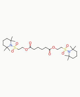 CC1(C)CCCC(C)(C)N1S(=O)(=O)CCOC(=O)CCCCC(=O)OCCS(=O)(=O)N1C(C)(C)CCCC1(C)C